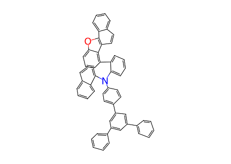 c1ccc(-c2cc(-c3ccccc3)cc(-c3ccc(N(c4ccccc4-c4cccc5oc6c7ccccc7ccc6c45)c4cccc5ccccc45)cc3)c2)cc1